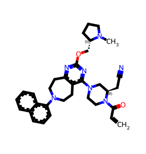 C=CC(=O)N1CCN(c2nc(OC[C@@H]3CCCN3C)nc3c2CCN(c2cccc4ccccc24)CC3)C[C@H]1CC#N